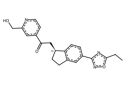 CCc1nc(-c2ccc3c(c2)CC[C@H]3CC(=O)c2ccnc(CO)c2)no1